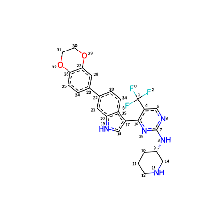 FC(F)(F)c1cnc(N[C@H]2CCCNC2)nc1-c1c[nH]c2cc(-c3ccc4c(c3)OCCO4)ccc12